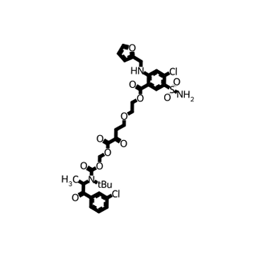 CC(C(=O)c1cccc(Cl)c1)N(C(=O)OCOC(=O)C(=O)CCOCCOC(=O)c1cc(S(N)(=O)=O)c(Cl)cc1NCc1ccco1)C(C)(C)C